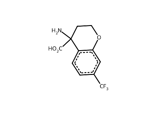 NC1(C(=O)O)CCOc2cc(C(F)(F)F)ccc21